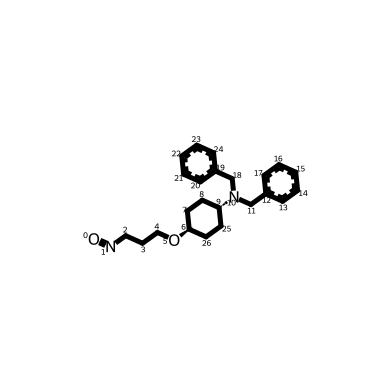 O=NCCCO[C@H]1CC[C@H](N(Cc2ccccc2)Cc2ccccc2)CC1